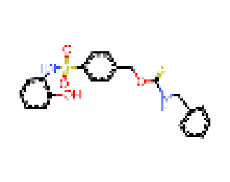 O=S(=O)(Nc1ccccc1O)c1ccc(COC(=S)NCc2ccccc2)cc1